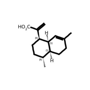 C=C(C(=O)O)[C@@H]1CC[C@@H](C)[C@@H]2CCC(C)=C[C@@H]21